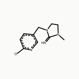 CN1CCN(Cc2ccc(Cl)nc2)C1=N